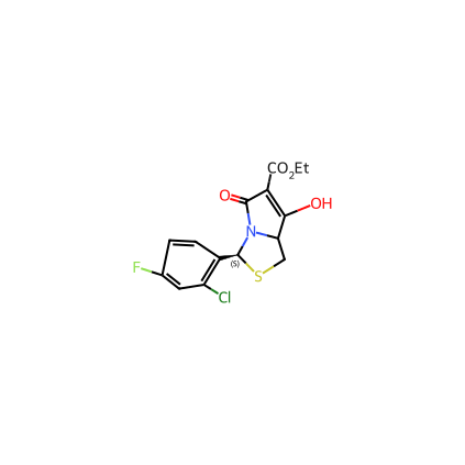 CCOC(=O)C1=C(O)C2CS[C@@H](c3ccc(F)cc3Cl)N2C1=O